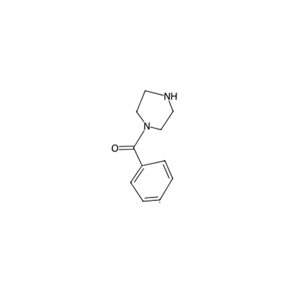 O=C(c1cc[c]cc1)N1CCNCC1